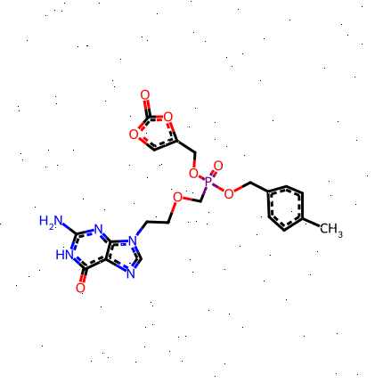 Cc1ccc(COP(=O)(COCCn2cnc3c(=O)[nH]c(N)nc32)OCc2coc(=O)o2)cc1